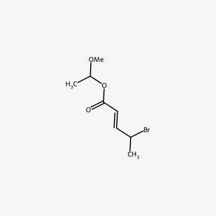 COC(C)OC(=O)C=CC(C)Br